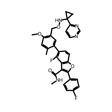 CNC(=O)c1c(-c2ccc(F)cc2)oc2ccc(-c3cc(CONC4(c5ccncn5)CC4)c(OC)cc3C)c(F)c12